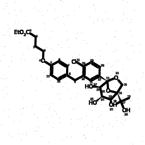 CCOC(=O)CCCOc1ccc(Cc2cc([C@]34OC[C@](C(C)(C)O)(O3)[C@@H](O)[C@H](O)[C@H]4O)ccc2Cl)cc1